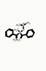 C=C(c1ccccc1)[Si](C)(O[SiH](C)C)C(=C)c1ccccc1